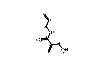 C=CCOC(=O)C(=C)CO